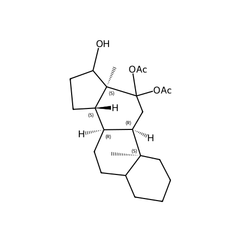 CC(=O)OC1(OC(C)=O)C[C@@H]2[C@@H](CCC3CCCC[C@@]32C)[C@@H]2CCC(O)[C@]21C